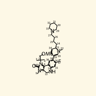 COCC(C)(C)n1c2c(n(C)c1=O)CNc1cc(F)c(C3=CN(C)C(CCCCN4CCCCC4)C=C3)cc1-2